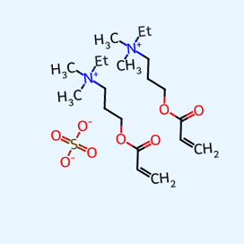 C=CC(=O)OCCC[N+](C)(C)CC.C=CC(=O)OCCC[N+](C)(C)CC.O=S(=O)([O-])[O-]